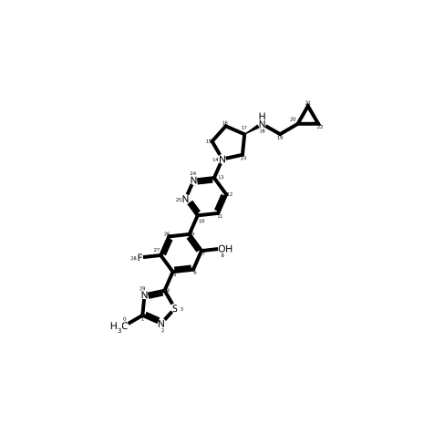 Cc1nsc(-c2cc(O)c(-c3ccc(N4CC[C@@H](NCC5CC5)C4)nn3)cc2F)n1